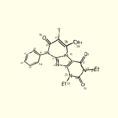 CCn1c(=O)c2c(nc3n(-c4ccccc4)c(=O)c(C)c(O)n23)n(CC)c1=O